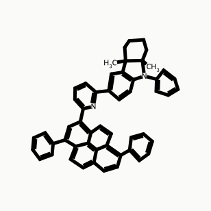 CC12CCCCC1(C)N(c1ccccc1)c1ccc(-c3cccc(-c4cc(-c5ccccc5)c5ccc6ccc(-c7ccccc7)c7ccc4c5c67)n3)cc12